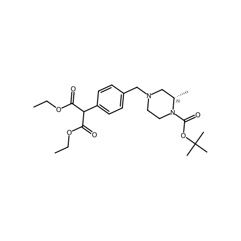 CCOC(=O)C(C(=O)OCC)c1ccc(CN2CCN(C(=O)OC(C)(C)C)[C@@H](C)C2)cc1